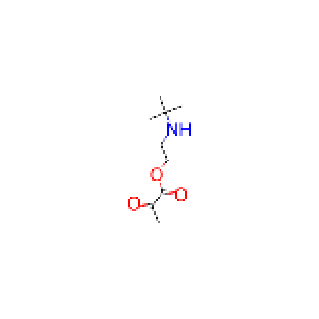 CC(=O)C(=O)OCCNC(C)(C)C